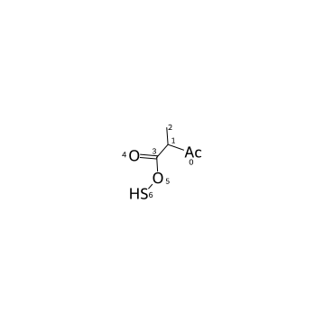 CC(=O)C(C)C(=O)OS